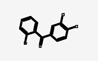 O=C(c1ccc(Cl)c(Cl)c1)c1ccccc1Br